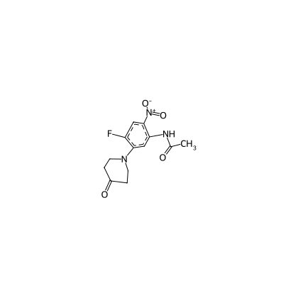 CC(=O)Nc1cc(N2CCC(=O)CC2)c(F)cc1[N+](=O)[O-]